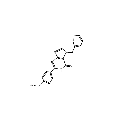 CCCCOc1ccc(-c2nc3ncn(Cc4ccccc4)c3c(=O)[nH]2)cc1